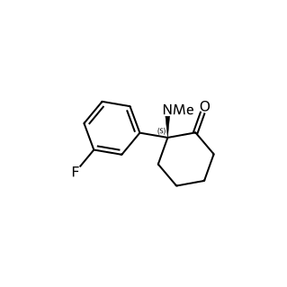 CN[C@]1(c2cccc(F)c2)CCCCC1=O